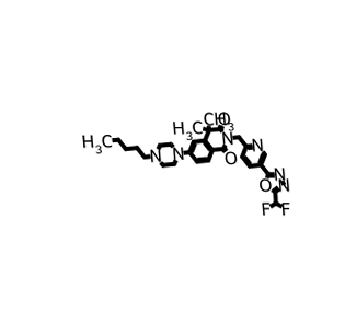 CCCCCN1CCN(c2ccc3c(c2)C(C)(C)C(=O)N(Cc2ccc(-c4nnc(C(F)F)o4)cn2)C3=O)CC1